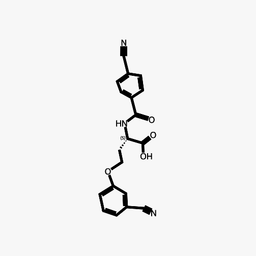 N#Cc1ccc(C(=O)N[C@@H](CCOc2cccc(C#N)c2)C(=O)O)cc1